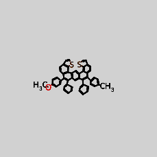 COc1ccc(-c2c(-c3ccccc3)c3cc4c(-c5ccccc5)c(-c5ccc(C)cc5)c5ccc6ccsc6c5c4cc3c3c2ccc2ccsc23)cc1